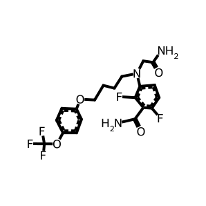 NC(=O)CN(CCCCOc1ccc(OC(F)(F)F)cc1)c1ccc(F)c(C(N)=O)c1F